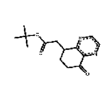 CC(C)(C)OC(=O)CC1CCC(=O)c2nccnc21